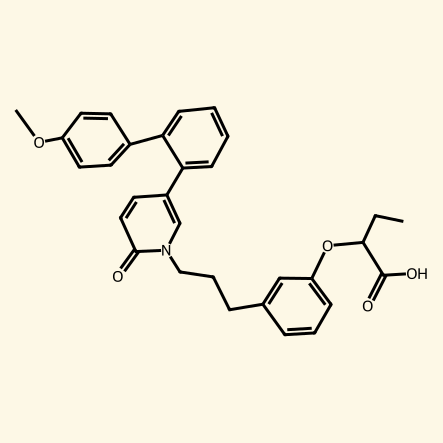 CCC(Oc1cccc(CCCn2cc(-c3ccccc3-c3ccc(OC)cc3)ccc2=O)c1)C(=O)O